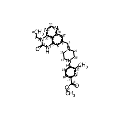 CCN1C(=O)Nc2cc(CN3CCN(c4ccc(C(=O)OC)nc4C)CC3)cc3ncnc1c23